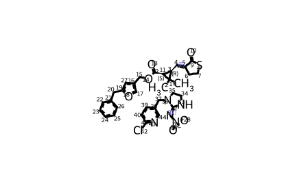 CC1(C)[C@H](/C=C2\CCSC2=O)[C@@H]1C(=O)OCc1coc(Cc2ccccc2)c1.O=[N+]([O-])/N=C1\NCCN1Cc1ccc(Cl)nc1